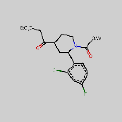 CCOC(=O)CC(=O)C1CCN(C(=O)OC)C(c2ccc(F)cc2Cl)C1